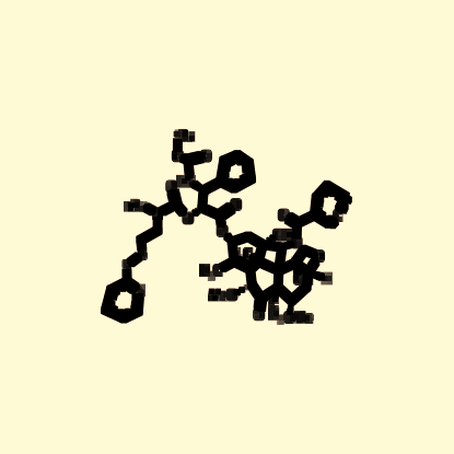 CCCCN(CCSSc1ccccn1)C(=O)O[C@@H](C(=O)O[C@H]1C[C@@]2(O)[C@@H](OC(=O)c3ccccc3)C34C2(C)C(=C1C)[C@@H](OC)C(=O)[C@]3(C)[C@@H](OC)C[C@H]1OC[C@]14O)[C@@H](NC(=O)OC(C)(C)C)c1ccccc1